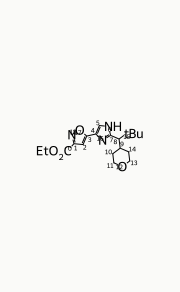 CCOC(=O)c1cc(-c2c[nH]c(C(C3CCOCC3)C(C)(C)C)n2)on1